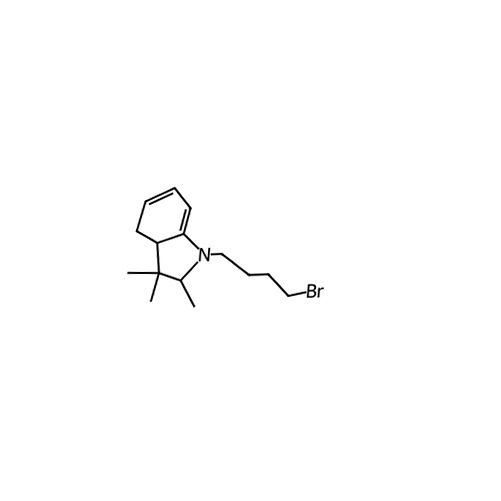 CC1N(CCCCBr)C2=CC=CCC2C1(C)C